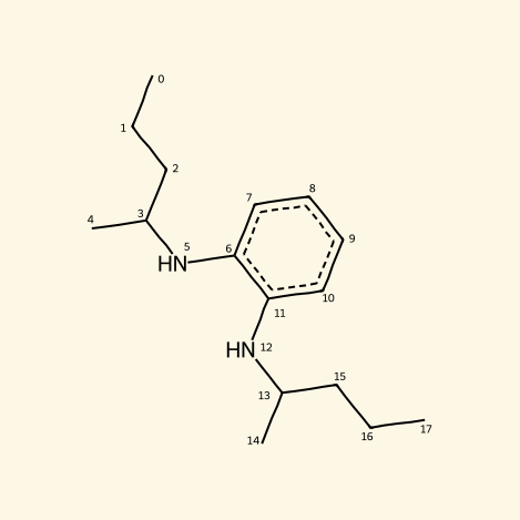 CCCC(C)Nc1ccccc1NC(C)CCC